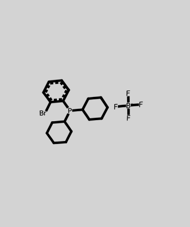 Brc1ccccc1P(C1CCCCC1)C1CCCCC1.F[B-](F)(F)F